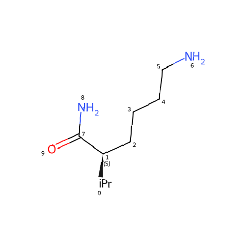 CC(C)[C@H](CCCCN)C(N)=O